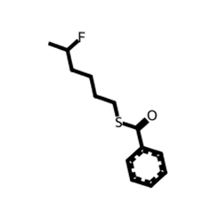 CC(F)CCCCSC(=O)c1ccccc1